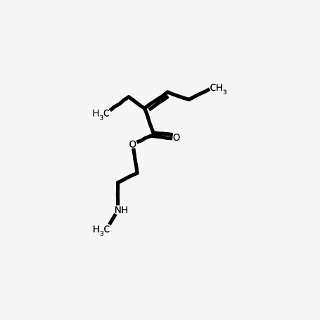 CCC=C(CC)C(=O)OCCNC